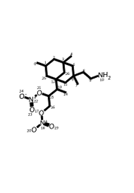 CC1CC2(C)CC(C)(CCN)CC(C(C)C(CO[N+](=O)[O-])O[N+](=O)[O-])(C1)C2